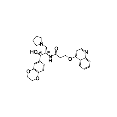 O=C(CCOc1ccnc2ccccc12)N[C@H](CN1CCCC1)[C@H](O)c1ccc2c(c1)OCCO2